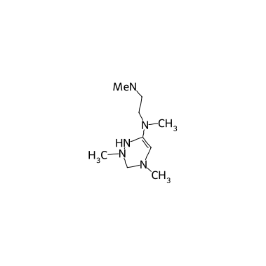 CNCCN(C)C1=CN(C)CN(C)N1